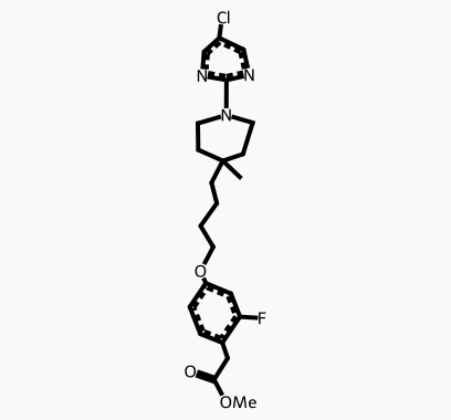 COC(=O)Cc1ccc(OCCCCC2(C)CCN(c3ncc(Cl)cn3)CC2)cc1F